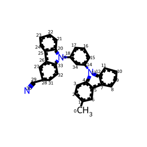 Cc1ccc2c(c1)c1ccccc1n2-c1cccc(-n2c3ccccc3c3cc(C#N)ccc32)c1